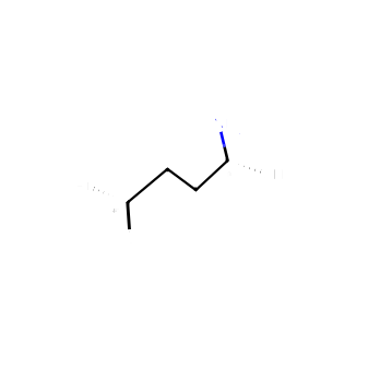 CC[C@@H](C)CC[C@@H](C)N